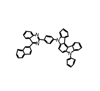 c1ccc(-n2c3ccccc3c3c4c5ccccc5n(-c5ccc(-c6nc(-c7ccc8ccccc8c7)c7ccccc7n6)cc5)c4ccc32)cc1